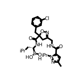 Cc1cc(C(=O)NCC2=NOC(Cc3cccc(Cl)c3)(C(=O)N[C@@H](CC(C)C)B(O)O)C2)n(C(C)C)n1